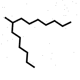 [CH2]C(CCCCCC)CCCCCCC